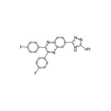 CCCc1nnc(-c2ccc3nc(-c4ccc(F)cc4)c(-c4ccc(F)cc4)nc3c2)[nH]1